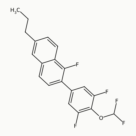 CCCc1ccc2c(F)c(-c3cc(F)c(OC(F)F)c(F)c3)ccc2c1